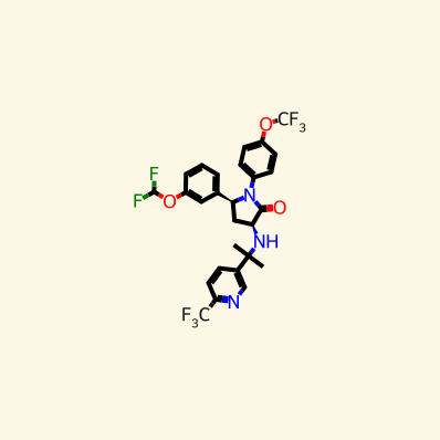 CC(C)(N[C@H]1C[C@@H](c2cccc(OC(F)F)c2)N(c2ccc(OC(F)(F)F)cc2)C1=O)c1ccc(C(F)(F)F)nc1